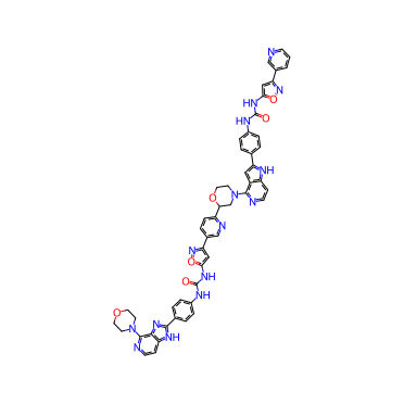 O=C(Nc1ccc(-c2cc3c(N4CCOC(c5ccc(-c6cc(NC(=O)Nc7ccc(-c8nc9c(N%10CCOCC%10)nccc9[nH]8)cc7)on6)cn5)C4)nccc3[nH]2)cc1)Nc1cc(-c2cccnc2)no1